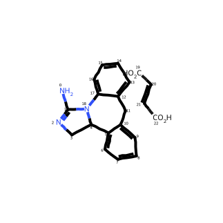 NC1=NCC2c3ccccc3Cc3ccccc3N12.O=C(O)/C=C/C(=O)O